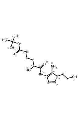 CC(C)(C)OC(=O)NCC[C@H](O)C(=O)Nc1cnn(CCO)c1N